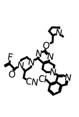 C=C(F)C(=O)N1CCN(c2nc(OCC3CCCN3C)nc3c2CCN(c2cncc4cccc(Cl)c24)C3)CC1CC#N